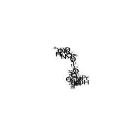 CC1=C[C@H]2C=Nc3cc(OCCCCCOc4cc5c(cc4C)C(=O)N4CC(C)=C[C@H]4C(O)N5C(C)C)c(C)cc3C(=O)N2C1